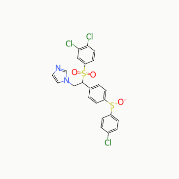 O=S(=O)(c1ccc(Cl)c(Cl)c1)C(Cn1ccnc1)c1ccc([S+]([O-])c2ccc(Cl)cc2)cc1